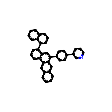 c1cncc(-c2ccc(-c3cc4c(-c5cccc6ccccc56)cccc4c4cc5ccccc5cc34)cc2)c1